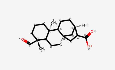 C[C@@]12CCC[C@@](C)(C=O)C1CC[C@]13CC(C(=O)O)[C@H](CCC12)C3